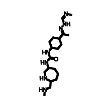 C/N=C\N/N=C(\C)C1CCC(NC(=O)NC2CCCC(CNC)NC2)CC1